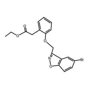 CCOC(=O)Cc1ccccc1OCc1noc2ccc(Br)cc12